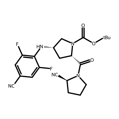 CC(C)(C)OC(=O)N1C[C@@H](Nc2c(F)cc(C#N)cc2F)C[C@H]1C(=O)N1CCC[C@H]1C#N